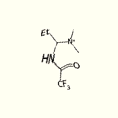 CCC(NC(=O)C(F)(F)F)[N+](C)C